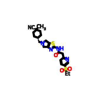 CCS(=O)(=O)c1ccc(CC(=O)Nc2nc3c(s2)CN(C[C@H]2CC[C@](C)(C#N)CC2)C3)nc1